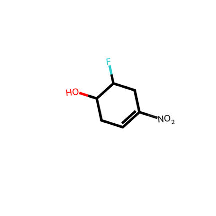 O=[N+]([O-])C1=CCC(O)C(F)C1